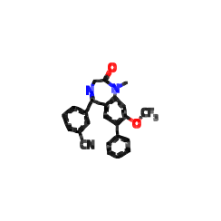 CN1C(=O)CN=C(c2cccc(C#N)c2)c2cc(-c3ccccc3)c(OC(F)(F)F)cc21